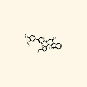 CCc1ccc(C2c3[nH]c4ccccc4c3C(=O)CN2c2ncc(-c3ccc(OC)c(OC)c3)cn2)o1